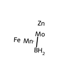 [BH2][Mo].[Fe].[Mn].[Zn]